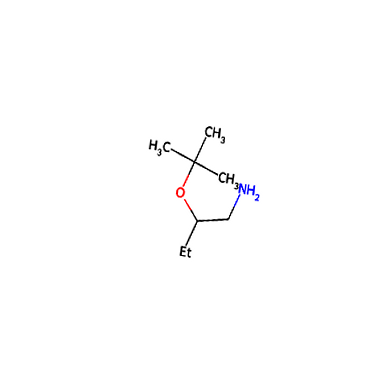 CCC(CN)OC(C)(C)C